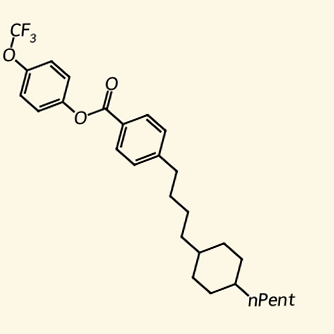 CCCCCC1CCC(CCCCc2ccc(C(=O)Oc3ccc(OC(F)(F)F)cc3)cc2)CC1